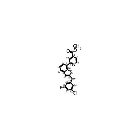 COC(=O)c1ccnc(-c2cccc3cc(Cc4cc(F)cc(Cl)c4)sc23)c1